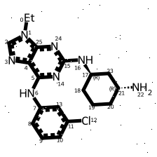 CCn1cnc2c(Nc3cccc(Cl)c3)nc(N[C@@H]3CCC[C@@H](N)C3)nc21